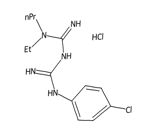 CCCN(CC)C(=N)NC(=N)Nc1ccc(Cl)cc1.Cl